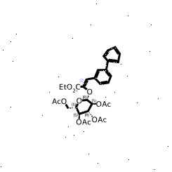 CCOC(=O)/C(=C/c1cccc(-c2ccccc2)c1)O[C@H]1O[C@@H](COC(C)=O)[C@H](OC(C)=O)[C@@H](OC(C)=O)[C@@H]1OC(C)=O